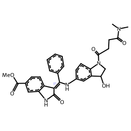 COC(=O)c1ccc2c(c1)NC(=O)/C2=C(\Nc1ccc2c(c1)C(O)CN2C(=O)CCC(=O)N(C)C)c1ccccc1